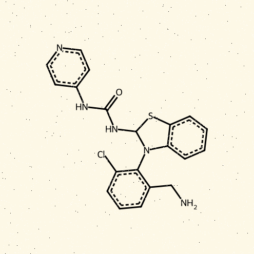 NCc1cccc(Cl)c1N1c2ccccc2SC1NC(=O)Nc1ccncc1